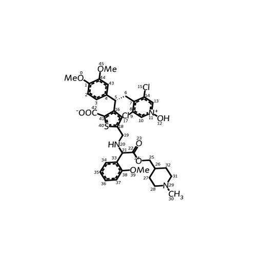 COc1ccc([C@H](Cc2c(Cl)c[n+](O)cc2Cl)c2cc(CNC(C(=O)OCC3CCN(C)CC3)c3ccccc3OC)sc2C(=O)[O-])cc1OC